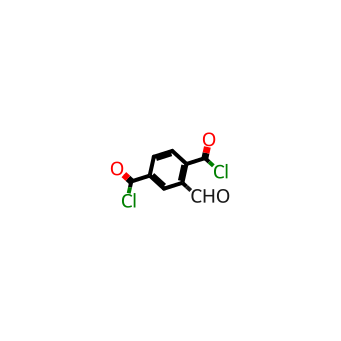 O=Cc1cc(C(=O)Cl)ccc1C(=O)Cl